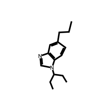 CCCc1ccc2c(c1)ncn2C(CC)CC